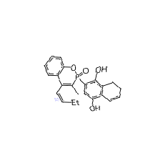 CC/C=C\C1=C(C)P(=O)(c2cc(O)c3c(c2O)CCC=C3)Oc2ccccc21